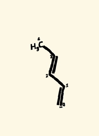 [C]=C/C=C/C